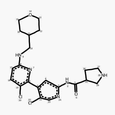 O=C(Nc1cc(-c2nc(NCC3CCOCC3)ccc2Cl)c(Cl)cn1)C1CCNC1